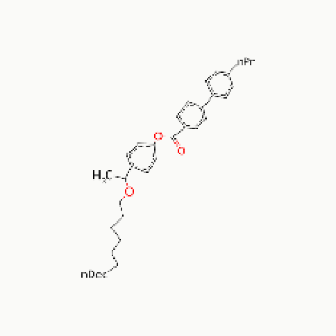 CCCCCCCCCCCCCCCCOC(C)c1ccc(OC(=O)c2ccc(-c3ccc(CCC)cc3)cc2)cc1